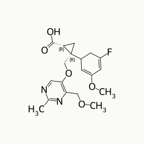 COCc1nc(C)ncc1OC[C@@]1(C2C=C(OC)C=C(F)C2)C[C@H]1C(=O)O